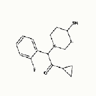 O=C(C1CC1)C(c1ccccc1F)N1C[C]C(S)CC1